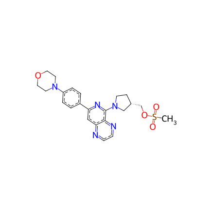 CS(=O)(=O)OC[C@H]1CCN(c2nc(-c3ccc(N4CCOCC4)cc3)cc3nccnc23)C1